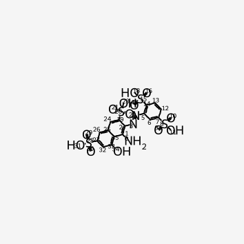 Nc1c(N=Nc2cc(S(=O)(=O)O)ccc2S(=O)(=O)O)c(S(=O)(=O)O)cc2cc(S(=O)(=O)O)cc(O)c12